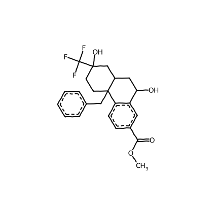 COC(=O)c1ccc2c(c1)C(O)CC1CC(O)(C(F)(F)F)CCC21Cc1ccccc1